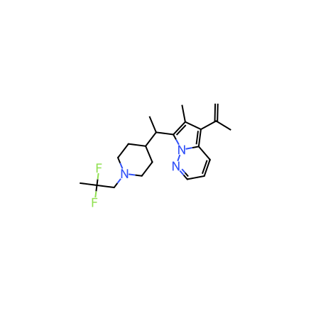 C=C(C)c1c(C)c(C(C)C2CCN(CC(C)(F)F)CC2)n2ncccc12